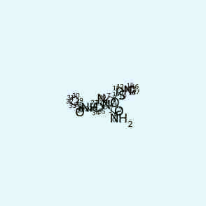 NC(=O)CCn1c(CC(=O)c2ccc(-n3cccc3)s2)nc2cc(CNC(=O)c3ccccc3)ccc21